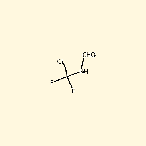 O=CNC(F)(F)Cl